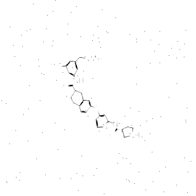 CNCc1cc(NC(=O)C2CCc3ccc(Oc4ccnc(NC(=O)[C@H]5CCNC5)c4)cc3C2)cc(C(F)(F)F)c1